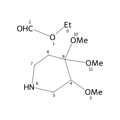 CCOC=O.COC1CNCCC1(OC)OC